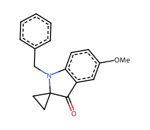 COc1ccc2c(c1)C(=O)C1(CC1)N2Cc1ccccc1